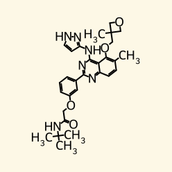 Cc1ccc2nc(-c3cccc(OCC(=O)NC(C)(C)C)c3)nc(Nc3cc[nH]n3)c2c1OCC1(C)COC1